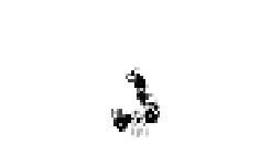 O=C(Nc1ccc2c(c1)N(CC1CN(c3ccc4c(c3)OCO4)C1)C(=O)CS2)Nc1c[nH]c2ccccc12